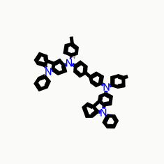 CC1=CC[C@@H](N(c2ccc(-c3ccc(N(c4ccc(C)cc4)c4ccc5c(c4)c4ccccc4n5-c4ccccc4)cc3)cc2)c2ccc3c(c2)c2ccccc2n3-c2ccccc2)C=C1